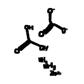 N.N.O=C(O)O.O=C([O-])[O-].[Zn+2]